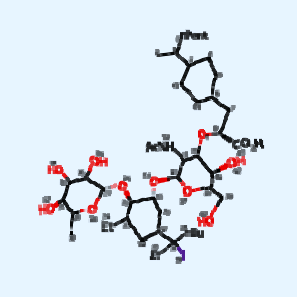 CCCCCC(C)C1CCC(C[C@H](OC2C(NC(C)=O)[C@H](O[C@@H]3CC(C(I)(CC)CCCC)CC(CC)[C@H]3O[C@@H]3OC(C)[C@@H](O)C(O)C3O)OC(CO)[C@@H]2O)C(=O)O)CC1